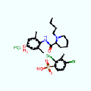 CCCCN1CCCCC1C(=O)Nc1c(C)cccc1C.Cc1c(Br)ccc(S(=O)(=O)O)c1Br.Cl.O